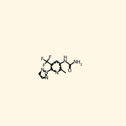 Cc1nc(-n2nccn2)c(C(F)(F)F)cc1NC(N)=O